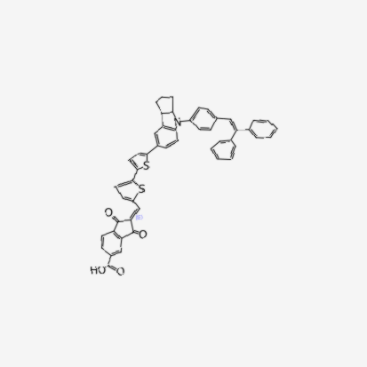 O=C(O)c1ccc2c(c1)C(=O)/C(=C/c1ccc(-c3ccc(-c4ccc5c(c4)C4CCCC4N5c4ccc(C=C(c5ccccc5)c5ccccc5)cc4)s3)s1)C2=O